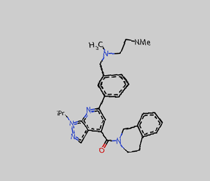 CNCCN(C)Cc1cccc(-c2cc(C(=O)N3CCc4ccccc4C3)c3cnn(C(C)C)c3n2)c1